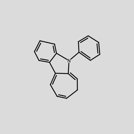 C1=CCC=c2c(c3ccccc3n2-c2ccccc2)=C1